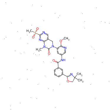 COc1ncc(NC(=O)c2cccc(C3=NC(C)(C)CO3)c2)cc1N1Cc2cnc(S(C)(=O)=O)nc2N(C)C1=O